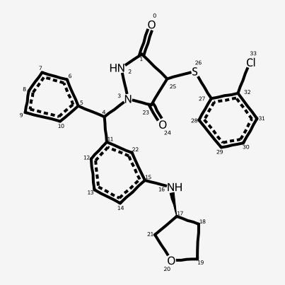 O=C1NN(C(c2ccccc2)c2cccc(N[C@H]3CCOC3)c2)C(=O)C1Sc1ccccc1Cl